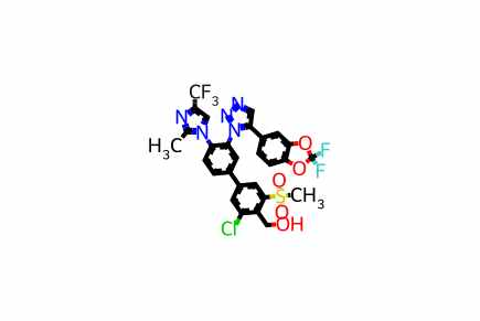 Cc1nc(C(F)(F)F)cn1-c1ccc(-c2cc(Cl)c(CO)c(S(C)(=O)=O)c2)cc1-n1nncc1-c1ccc2c(c1)OC(F)(F)O2